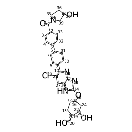 O=C(c1ccc(-c2ccc(-c3nc4nc(O[C@H]5CC[C@H](CO)[C@@H](O)C5)[nH]c4cc3Cl)cc2)cc1)N1CC[C@@H](O)C1